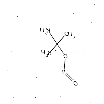 CC(N)(N)OP=O